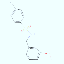 COc1cccc(CNS(=O)(=O)c2ccc(C)cc2)c1